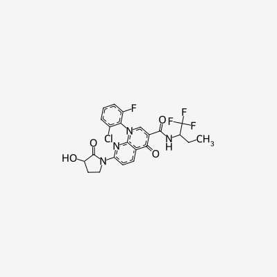 CCC(NC(=O)c1cn(-c2c(F)cccc2Cl)c2nc(N3CCC(O)C3=O)ccc2c1=O)C(F)(F)F